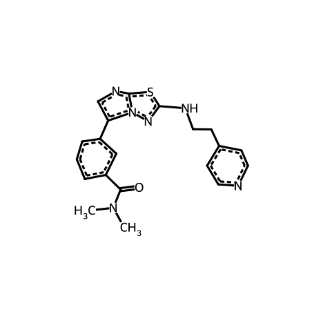 CN(C)C(=O)c1cccc(-c2cnc3sc(NCCc4ccncc4)nn23)c1